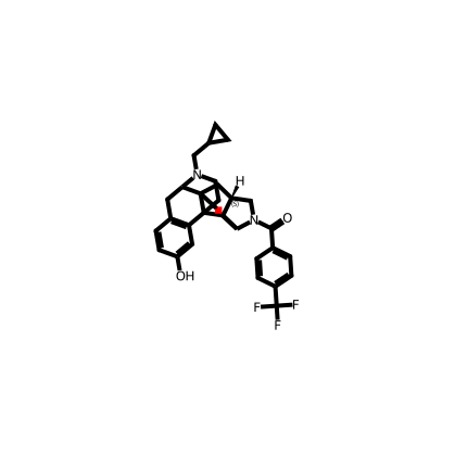 O=C(c1ccc(C(F)(F)F)cc1)N1C[C@H]2CC34CCC1C2C31CCN(CC2CC2)C4Cc2ccc(O)cc21